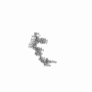 CCCCC(CC(CC(CC)C(=O)NCCNC(=O)COC1C(COCCC)OC(OCC2OC(OCC3OC(OCC4OC(CCC)C(O)C(O)C4O)C(OCC(=O)NCCN)C(O)C3O)C(O)C(O)C2O)C(O)C1O)C(=O)NCCSC)C(=O)NCCSC